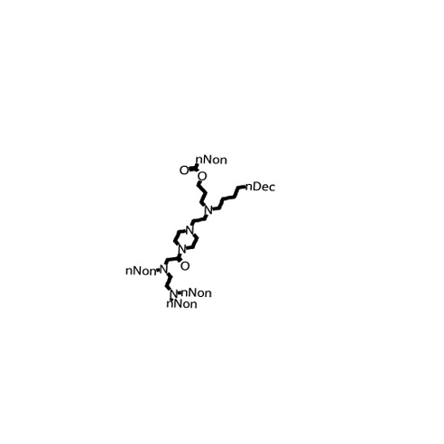 CCCCCCCCCCCCCCN(CCCOC(=O)CCCCCCCCC)CCN1CCN(C(=O)CN(CCCCCCCCC)CCN(CCCCCCCCC)CCCCCCCCC)CC1